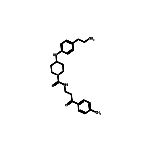 Cc1ccc(C(=O)CCNC(=O)N2CCC(Nc3ccc(CCN)cc3)CC2)cc1